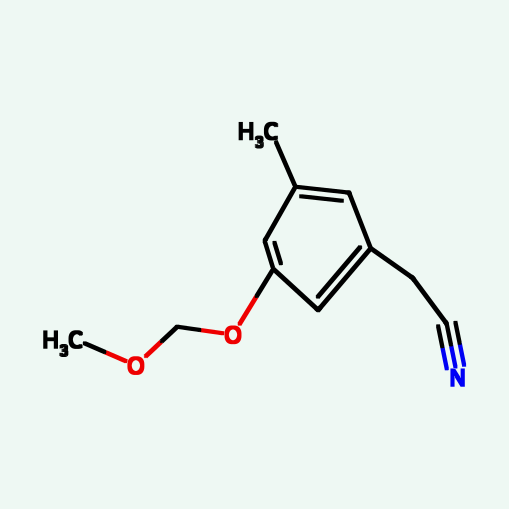 COCOc1cc(C)cc(CC#N)c1